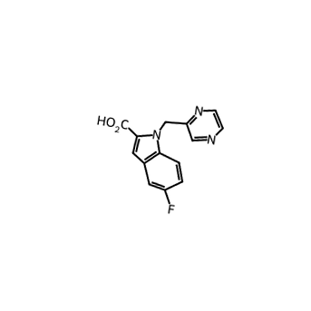 O=C(O)c1cc2cc(F)ccc2n1Cc1cnccn1